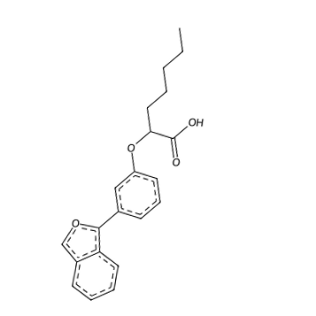 CCCCCC(Oc1cccc(-c2occ3ccccc23)c1)C(=O)O